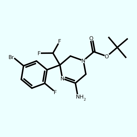 CC(C)(C)OC(=O)N1CC(N)=NC(c2cc(Br)ccc2F)(C(F)F)C1